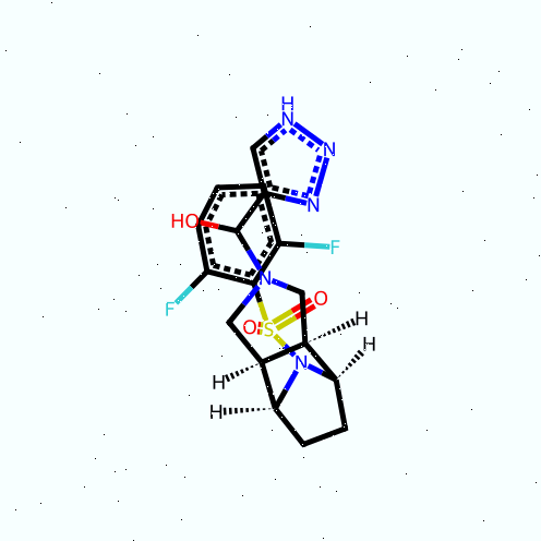 O=S(=O)(c1c(F)cccc1F)N1[C@@H]2CC[C@H]1[C@H]1CN(C(O)c3c[nH]nn3)C[C@H]12